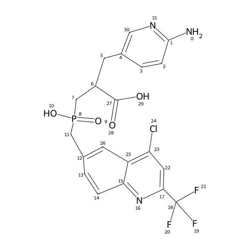 Nc1ccc(CC(CP(=O)(O)Cc2ccc3nc(C(F)(F)F)cc(Cl)c3c2)C(=O)O)cn1